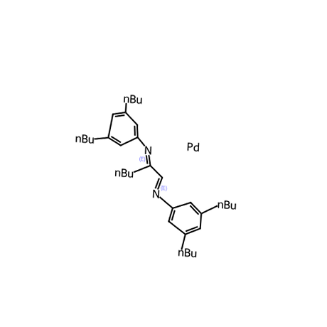 CCCCC(/C=N/c1cc(CCCC)cc(CCCC)c1)=N\c1cc(CCCC)cc(CCCC)c1.[Pd]